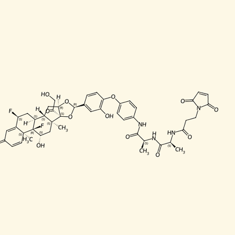 C[C@H](NC(=O)CCN1C(=O)C=CC1=O)C(=O)N[C@@H](C)C(=O)Nc1ccc(Oc2ccc([C@@H]3O[C@@H]4C[C@H]5[C@@H]6C[C@H](F)C7=CC(=O)C=C[C@]7(C)[C@@]6(F)[C@@H](O)C[C@]5(C)[C@]4(C(=O)CO)O3)cc2O)cc1